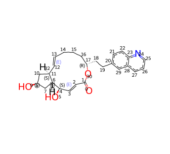 O=C1/C=C/[C@@H](O)[C@@H]2C[C@@H](O)C[C@H]2/C=C/CCC[C@H](CCc2ccc3ncccc3c2)O1